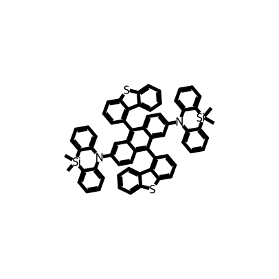 C[Si]1(C)c2ccccc2N(c2ccc3c(-c4cccc5sc6ccccc6c45)c4cc(N5c6ccccc6[Si](C)(C)c6ccccc65)ccc4c(-c4cccc5sc6ccccc6c45)c3c2)c2ccccc21